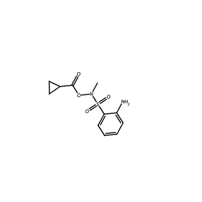 CN(OC(=O)C1CC1)S(=O)(=O)c1ccccc1N